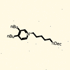 CCCCCCCCCCCCCCC[n+]1ccc(CCCC)c(CCCC)c1